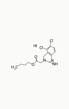 CCCCOC(=O)CN1Cc2c(ccc(Cl)c2Cl)N2NC12.I